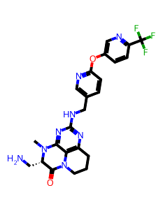 CN1c2nc(NCc3ccc(Oc4ccc(C(F)(F)F)nc4)nc3)nc3c2N(CCC3)C(=O)[C@@H]1CN